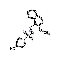 COc1ccc2ccccc2c1/C=N/S(=O)(=O)c1ccc(O)cc1